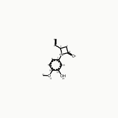 C=CC1CC(=O)N1c1ccc(OC)c(O)c1